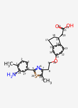 Cc1ccc(-c2nc(CCOc3ccc4c(c3)CC[C@H]4CC(=O)O)c(C)s2)cc1N